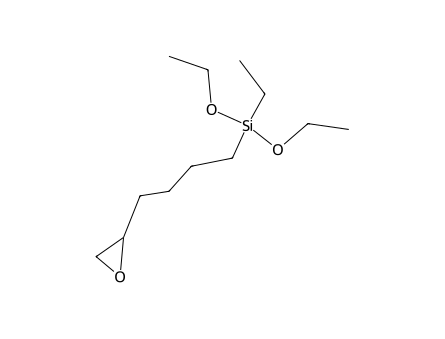 CCO[Si](CC)(CCCCC1CO1)OCC